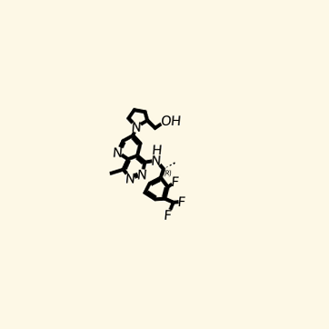 Cc1nnc(N[C@H](C)c2cccc(C(F)F)c2F)c2cc(N3CCCC3CO)cnc12